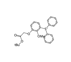 COc1c(OCC(=O)OC(C)(C)C)cccc1[S+](c1ccccc1)c1ccccc1